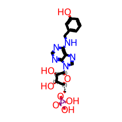 O=P(O)(O)OC[C@H]1O[C@@H](n2cnc3c(NCc4cccc(O)c4)ncnc32)[C@H](O)[C@@H]1O